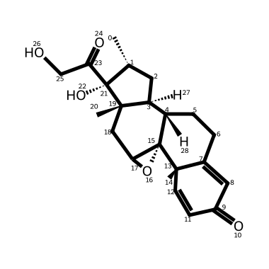 C[C@@H]1C[C@H]2[C@@H]3CCC4=CC(=O)C=C[C@]4(C)[C@]34OC4C[C@]2(C)[C@@]1(O)C(=O)CO